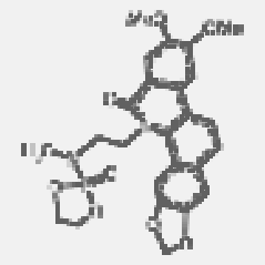 COc1cc2c(=O)n(CCN(C)P3(=O)OCCO3)c3c4cc5c(cc4ccc3c2cc1OC)OCO5